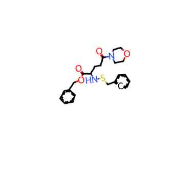 O=C(OCc1ccccc1)C(CCC(=O)N1CCOCC1)NSCc1ccccc1